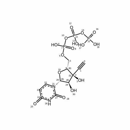 C#C[C@@]1(O)[C@@H](COP(=O)(O)OP(=O)(O)OP(=O)(O)O)O[C@@H](n2ccc(=O)[nH]c2=O)[C@@H]1O